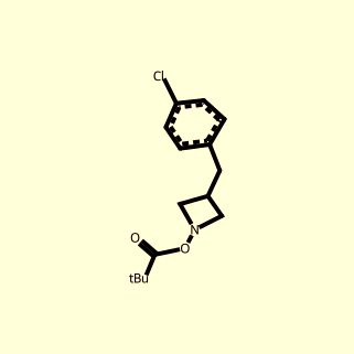 CC(C)(C)C(=O)ON1CC(Cc2ccc(Cl)cc2)C1